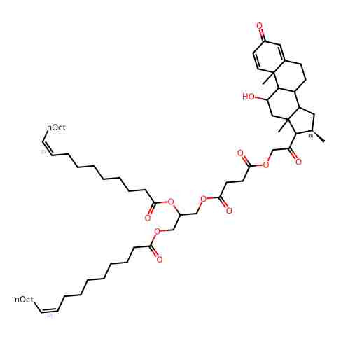 CCCCCCCC/C=C\CCCCCCCC(=O)OCC(COC(=O)CCC(=O)OCC(=O)C1[C@H](C)CC2C3CCC4=CC(=O)C=CC4(C)C3C(O)CC21C)OC(=O)CCCCCCC/C=C\CCCCCCCC